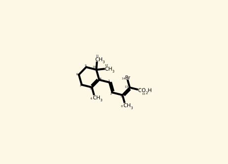 CC(C=CC1=C(C)CCCC1(C)C)=C(Br)C(=O)O